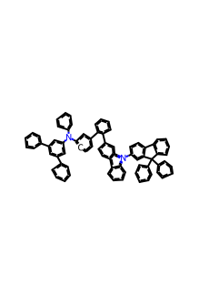 c1ccc(-c2cc(-c3ccccc3)cc(N(c3ccccc3)c3cccc(-c4ccccc4-c4ccc5c6ccccc6n(-c6ccc7c(c6)C(c6ccccc6)(c6ccccc6)c6ccccc6-7)c5c4)c3)c2)cc1